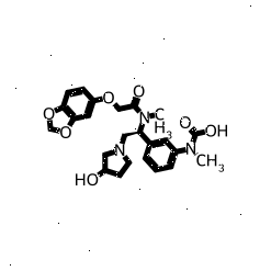 CN(C(=O)O)c1cccc([C@@H](CN2CCC(O)C2)N(C)C(=O)COc2ccc3c(c2)OCO3)c1